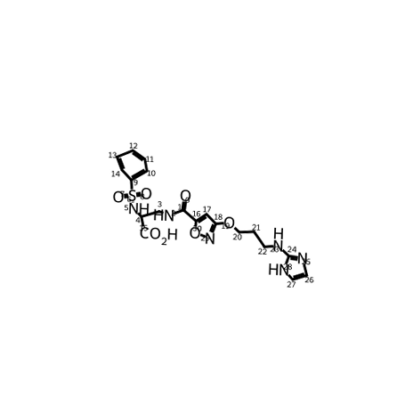 O=C(NCC(NS(=O)(=O)c1ccccc1)C(=O)O)c1cc(OCCCNc2ncc[nH]2)no1